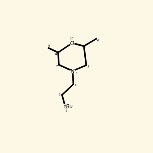 CC1CN(CCC(C)(C)C)CC(C)O1